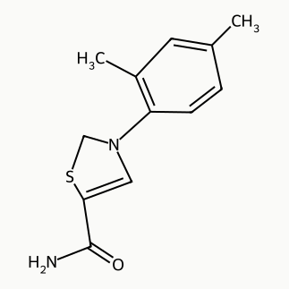 Cc1ccc(N2C=C(C(N)=O)SC2)c(C)c1